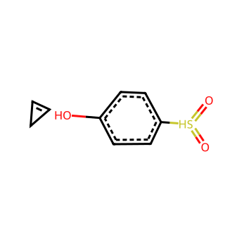 C1=CC1.O=[SH](=O)c1ccc(O)cc1